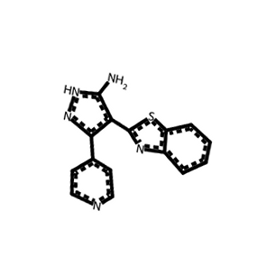 Nc1[nH]nc(-c2ccncc2)c1-c1nc2ccccc2s1